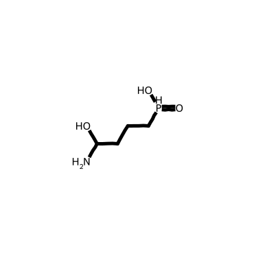 NC(O)CCC[PH](=O)O